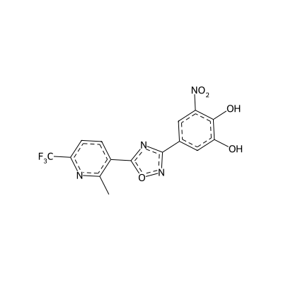 Cc1nc(C(F)(F)F)ccc1-c1nc(-c2cc(O)c(O)c([N+](=O)[O-])c2)no1